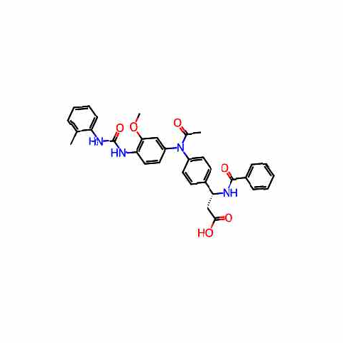 COc1cc(N(C(C)=O)c2ccc([C@@H](CC(=O)O)NC(=O)c3ccccc3)cc2)ccc1NC(=O)Nc1ccccc1C